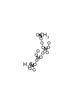 CN(c1ccccc1)c1ccc(-c2ccc(-c3ccc4c5c6ccc(-c7cccc(N(c8ccc(-c9ccc%10c%11c%12ccccc%12c%12ccccc%12c%11n(C)c%10c9)cc8)c8cccc(-c9ccccc9)c8)c7)cc6c6ccccc6c5n(-c5cccc(-c6ccccc6)c5)c4c3)cc2)cc1